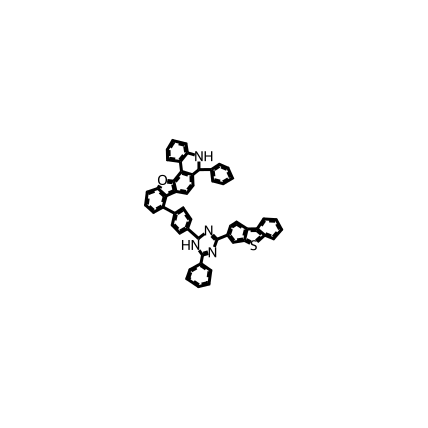 c1ccc(C2=NC(c3ccc4c(c3)sc3ccccc34)=NC(c3ccc(-c4cccc5oc6c7c(ccc6c45)C(c4ccccc4)Nc4ccccc4-7)cc3)N2)cc1